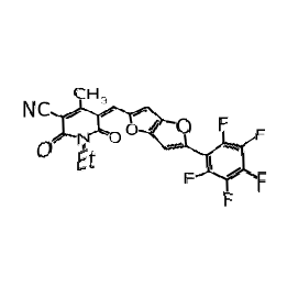 CCN1C(=O)C(C#N)=C(C)/C(=C/c2cc3oc(-c4c(F)c(F)c(F)c(F)c4F)cc3o2)C1=O